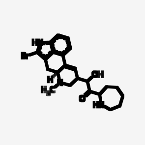 CN1CC(C(O)C(=O)C2CCCCCN2)C=C2c3cccc4[nH]c(Br)c(c34)C[C@@H]21